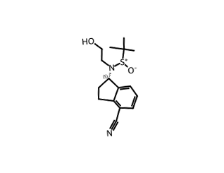 CC(C)(C)[S+]([O-])N(CCO)[C@H]1CCc2c(C#N)cccc21